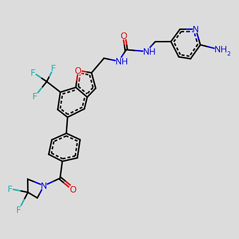 Nc1ccc(CNC(=O)NCc2cc3cc(-c4ccc(C(=O)N5CC(F)(F)C5)cc4)cc(C(F)(F)F)c3o2)cn1